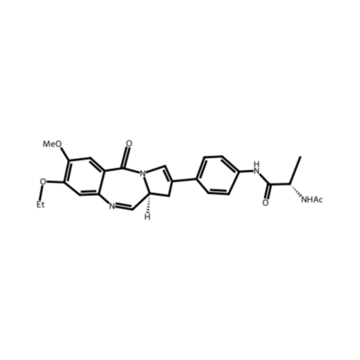 CCOc1cc2c(cc1OC)C(=O)N1C=C(c3ccc(NC(=O)[C@H](C)NC(C)=O)cc3)C[C@H]1C=N2